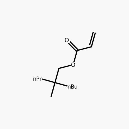 C=CC(=O)OCC(C)(CCC)CCCC